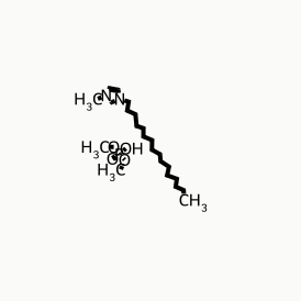 CCCCCCCCCCCCCCCCN1C=CN(C)C1.COP(=O)(O)OC